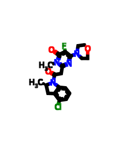 C[C@@H]1Cc2c(Cl)cccc2N1C(=O)Cc1nc(N2CCOCC2)c(F)c(=O)n1C